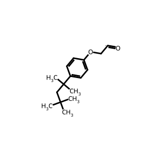 CC(C)(C)CC(C)(C)c1ccc(OC[C]=O)cc1